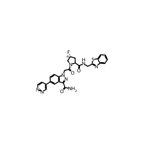 NC(=O)c1nn(CC(=O)N2C[C@H](F)CC2C(=O)NCc2nc3ccccc3s2)c2ccc(-c3ccnnc3)cc12